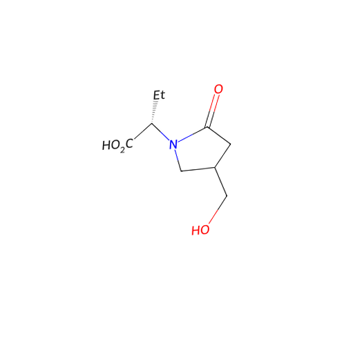 CC[C@@H](C(=O)O)N1CC(CO)CC1=O